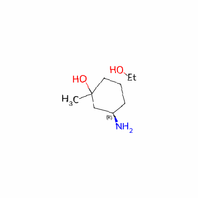 CC1(O)CCC[C@@H](N)C1.CCO